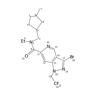 CCN(CC1CCC(C)C1)C(=O)c1cc2c(cn1)c(Br)nn2CC(F)(F)F